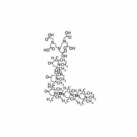 CN1C(C)(C)CC(=O)CC1(C)C.CN1C(C)(C)CC(=O)CC1(C)C.CN1C(C)(C)CC(=O)CC1(C)C.CN1C(C)(C)CC(=O)CC1(C)C.CN1C(C)(C)CC(=O)CC1(C)C.O=C(O)CN(CCN(CC(=O)O)CC(=O)O)CCN(CC(=O)O)CC(=O)O